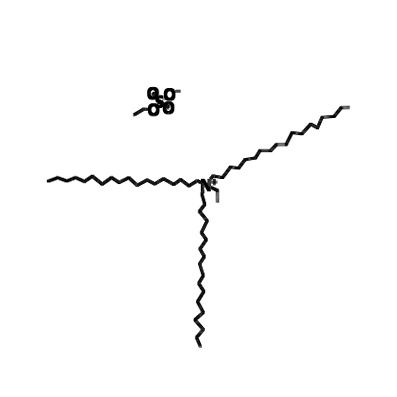 CCCCCCCCCCCCCCCCCC[N+](CC)(CCCCCCCCCCCCCCCCCC)CCCCCCCCCCCCCCCCCC.CCOS(=O)(=O)[O-]